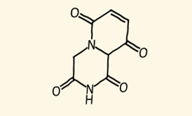 O=C1CN2C(=O)C=CC(=O)C2C(=O)N1